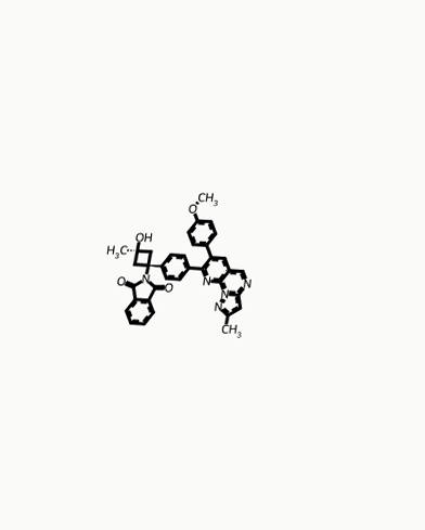 COc1ccc(-c2cc3cnc4cc(C)nn4c3nc2-c2ccc([C@]3(N4C(=O)c5ccccc5C4=O)C[C@](C)(O)C3)cc2)cc1